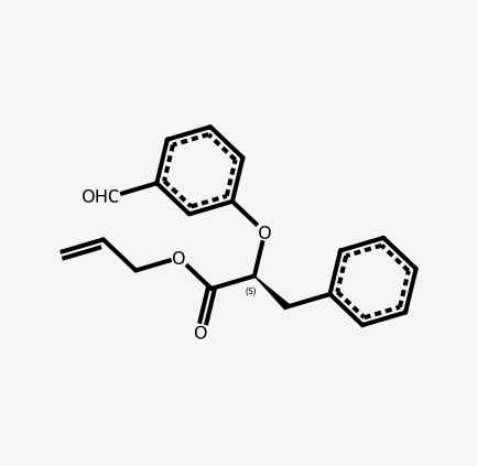 C=CCOC(=O)[C@H](Cc1ccccc1)Oc1cccc(C=O)c1